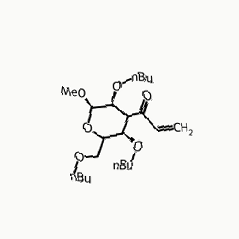 C=CC(=O)C1[C@@H](OCCCC)C(COCCCC)O[C@@H](OC)[C@H]1OCCCC